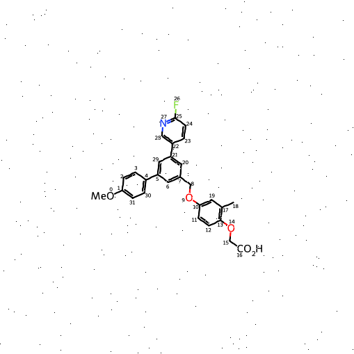 COc1ccc(-c2cc(COc3ccc(OCC(=O)O)c(C)c3)cc(-c3ccc(F)nc3)c2)cc1